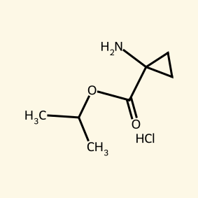 CC(C)OC(=O)C1(N)CC1.Cl